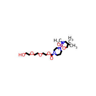 CN1CC(C)(C)COP1(=O)N1CCCN(C(=O)OCCOCCOCCO)CC1